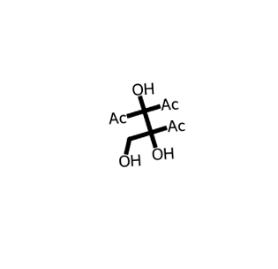 CC(=O)C(O)(CO)C(O)(C(C)=O)C(C)=O